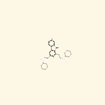 CN(CCc1cc2c(c(CCN(C)C3CCCCC3)c1C(=O)O)C(=O)c1cc(C(=O)O)ccc1-2)C1CCCCC1.Cl.Cl